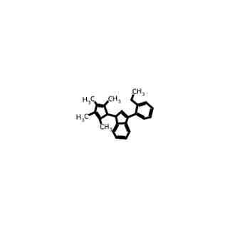 CCc1ccccc1C1=CC([C]2C(C)=C(C)C(C)=C2C)c2ccccc21